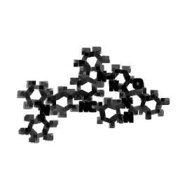 N#Cc1ccc2nc3c4ccccc4c4oc5ccc(-n6c7ccccc7c7cc(-c8ccc9c(c8)c8ccccc8n9-c8ccccc8)ccc76)nc5c4n3c2c1